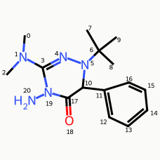 CN(C)C1=NN(C(C)(C)C)C(c2ccccc2)C(=O)N1N